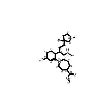 CNCC(CCC1(F)CCNC1)C1CC=C(F)C=C1N1CCCC(C(=O)OC)CC1